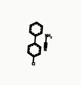 Clc1ccc(-c2ccccc2)cc1.N#CN